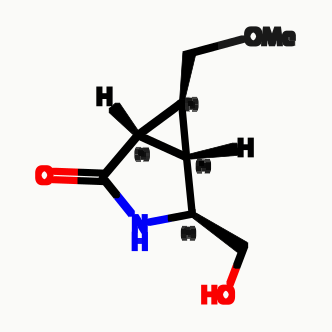 COC[C@@H]1[C@H]2C(=O)N[C@H](CO)[C@@H]12